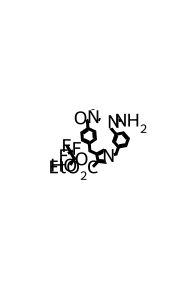 CCOC(=O)c1cn(Cc2cccc(/C=N\N)c2)cc1Cc1ccc(C(=O)N(C)C)cc1.O=C(O)C(F)(F)F